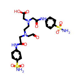 NS(=O)(=O)c1ccc(NC(=O)CN(CC=O)CCN(CC(=O)O)CC(=O)Nc2ccc(S(N)(=O)=O)cc2)cc1